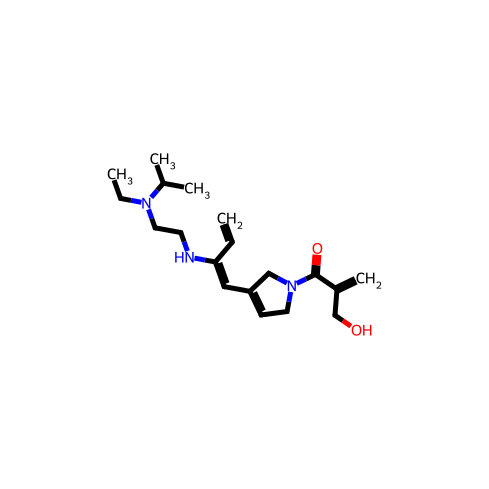 C=C/C(=C\C1=CCN(C(=O)C(=C)CO)C1)NCCN(CC)C(C)C